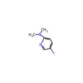 CN(C)c1ccc(I)[c]n1